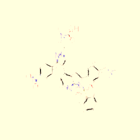 CN(C)Cc1ccc(-c2cc3c(-c4cn(CCN(C)C(=O)O)nc4-c4ccc([N+](=O)[O-])cc4)ccnc3n2S(=O)(=O)c2ccccc2)cc1